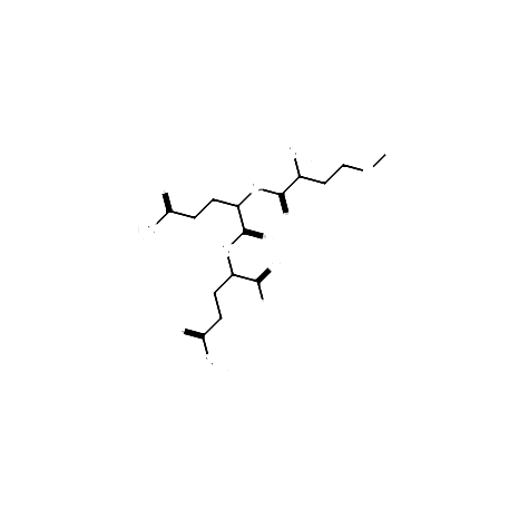 CSCCC(N)C(=O)NC(CCC(N)=O)C(=O)NC(CCC(N)=O)C(=O)O